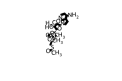 CC(=O)SCCOP(=O)(OC[C@H]1O[C@@H](n2ccc3c(N)ccnc32)[C@@](C)(O)C1O)N(C)C